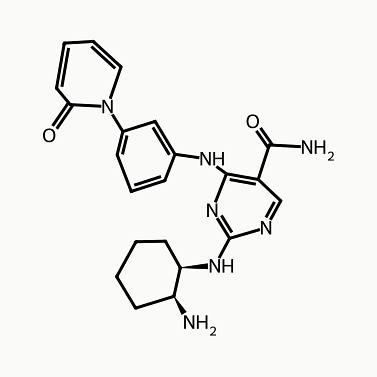 NC(=O)c1cnc(N[C@@H]2CCCC[C@@H]2N)nc1Nc1cccc(-n2ccccc2=O)c1